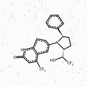 O=c1cc(C(F)(F)F)c2cc(N3[C@@H](c4ccccc4)CC[C@@H]3C(O)C(F)(F)F)ccc2[nH]1